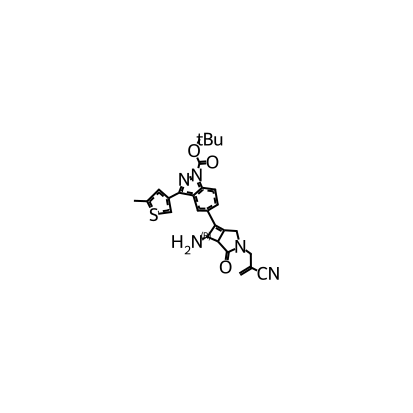 C=C(C#N)CN1CC2=C(c3ccc4c(c3)c(-c3csc(C)c3)nn4C(=O)OC(C)(C)C)[C@H](N)C2C1=O